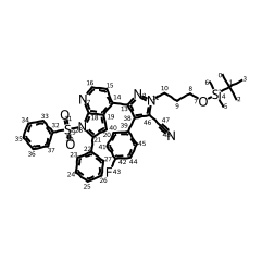 CC(C)(C)[Si](C)(C)OCCCn1nc(-c2ccnc3c2cc(-c2ccccc2)n3S(=O)(=O)c2ccccc2)c(-c2ccc(F)cc2)c1C#N